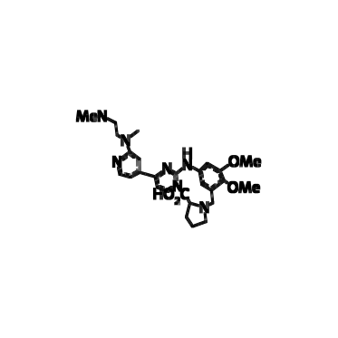 CNCCN(C)c1cc(-c2ccnc(Nc3cc(CN4CCCC4C(=O)O)c(OC)c(OC)c3)n2)ccn1